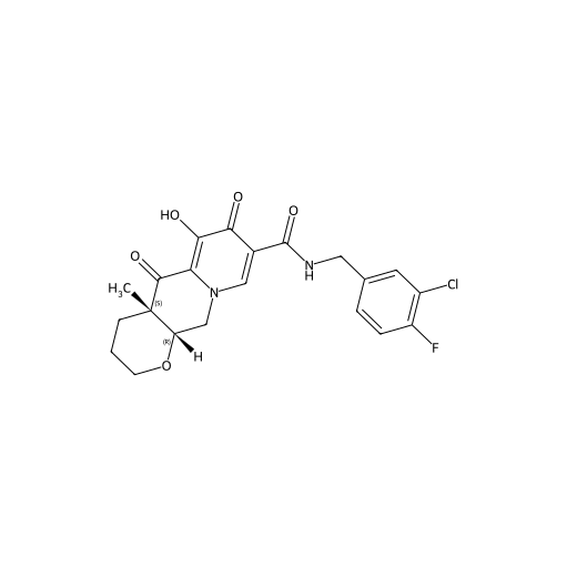 C[C@]12CCCO[C@H]1Cn1cc(C(=O)NCc3ccc(F)c(Cl)c3)c(=O)c(O)c1C2=O